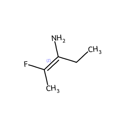 CC/C(N)=C(\C)F